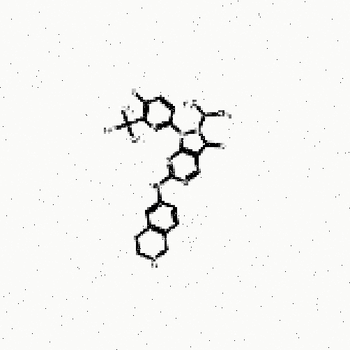 CC(C)n1c(=O)c2cnc(Nc3ccc4c(c3)CCNC4)nc2n1-c1ccc(F)c(C(C)(C)O)n1